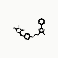 Cc1oc(-c2ccccc2)nc1CCOc1ccc(C=C2SC(=O)NC2=O)cc1